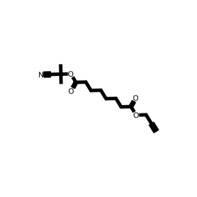 C#CCOC(=O)CCCCCCC(=O)OC(C)(C)C#N